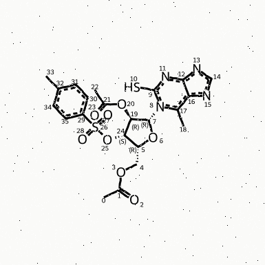 CC(=O)OC[C@H]1O[C@@H](n2c(S)nc3ncnc-3c2C)[C@H](OC(C)=O)[C@H]1OS(=O)(=O)c1ccc(C)cc1